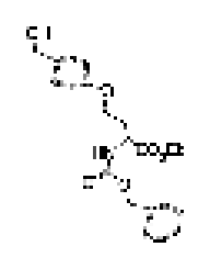 CCOC(=O)C(CCOc1ccc(CO)cc1)NC(=O)OCc1ccccc1